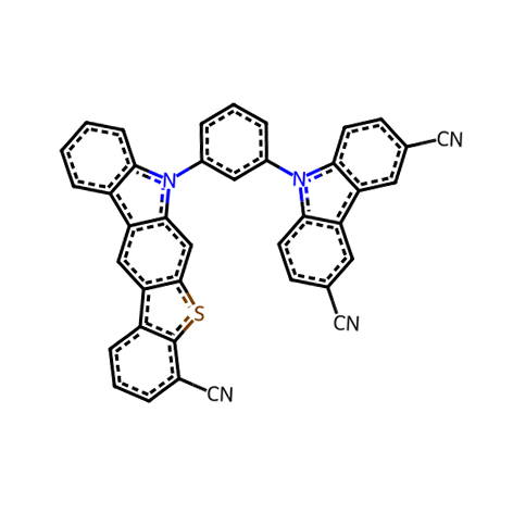 N#Cc1ccc2c(c1)c1cc(C#N)ccc1n2-c1cccc(-n2c3ccccc3c3cc4c(cc32)sc2c(C#N)cccc24)c1